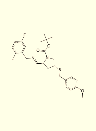 COc1ccc(CS[C@@H]2C[C@@H](/C=N/Cc3cc(F)ccc3F)N(C(=O)OC(C)(C)C)C2)cc1